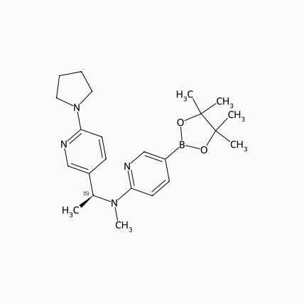 C[C@@H](c1ccc(N2CCCC2)nc1)N(C)c1ccc(B2OC(C)(C)C(C)(C)O2)cn1